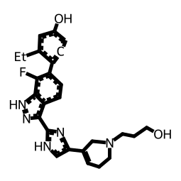 CCc1cc(O)ccc1-c1ccc2c(-c3nc(C4=CCCN(CCCO)C4)c[nH]3)n[nH]c2c1F